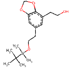 CC(C)(C)[Si](C)(C)OCCc1cc(CCO)c2c(c1)OCO2